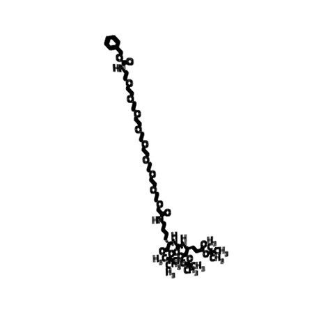 CC(C)(C)OC(=O)CC[C@H](NC(=O)N[C@@H](CCCCNC(=O)COCCOCCOCCOCCOCCOCCOCCOCCOCCNC(=O)OCc1ccccc1)C(=O)OC(C)(C)C)C(=O)OC(C)(C)C